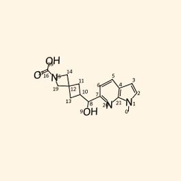 Cn1ccc2ccc(C(O)C3CC4(C3)CN(C(=O)O)C4)nc21